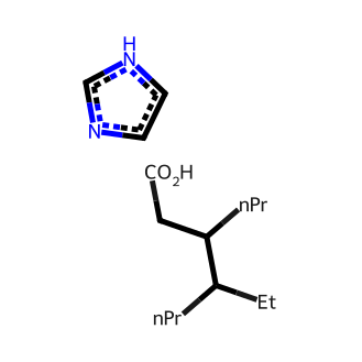 CCCC(CC)C(CCC)CC(=O)O.c1c[nH]cn1